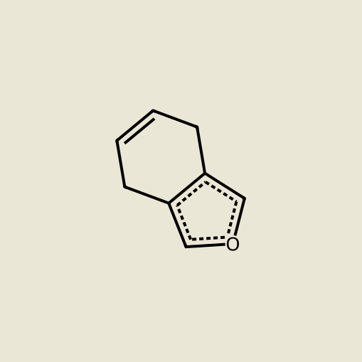 C1=CCc2cocc2C1